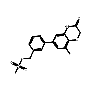 Cc1cc(-c2cccc(COS(C)(=O)=O)c2)cc2c1OCC(=O)N2